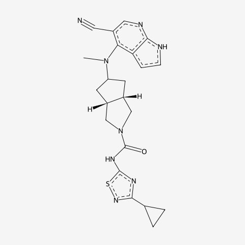 CN(c1c(C#N)cnc2[nH]ccc12)C1C[C@@H]2CN(C(=O)Nc3nc(C4CC4)ns3)C[C@@H]2C1